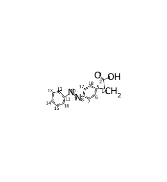 C=C(C(=O)O)c1ccc(N=Nc2ccccc2)cc1